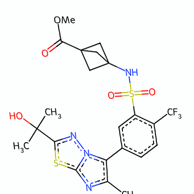 COC(=O)C12CC(NS(=O)(=O)c3cc(-c4c(C)nc5sc(C(C)(C)O)nn45)ccc3C(F)(F)F)(C1)C2